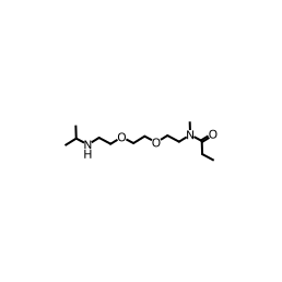 CCC(=O)N(C)CCOCCOCCNC(C)C